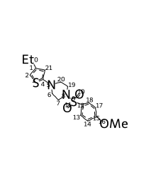 CCc1csc(N2CCN(S(=O)(=O)c3ccc(OC)cc3)CC2)c1